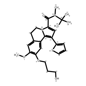 COc1cc2c(cc1OCCCO)-c1c(-c3cccs3)cc(C(=O)N(C)C(C)(C)C)n1CC2